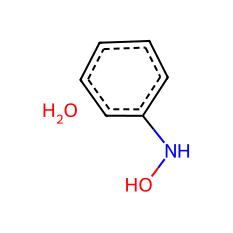 O.ONc1ccccc1